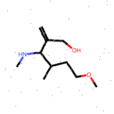 C=C(CO)C(NC)C(C)CCOC